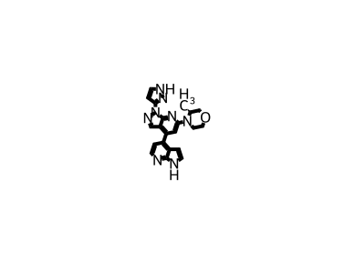 C[C@@H]1COCCN1c1cc(-c2ccnc3[nH]ccc23)c2cnn(-c3cc[nH]n3)c2n1